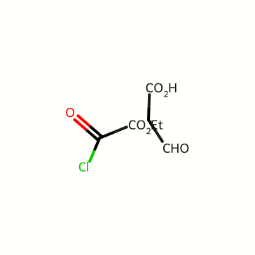 CCOC(=O)C(=O)Cl.O=CCC(=O)O